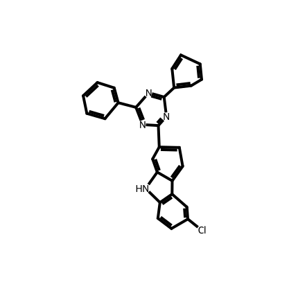 Clc1ccc2[nH]c3cc(-c4nc(-c5ccccc5)nc(-c5ccccc5)n4)ccc3c2c1